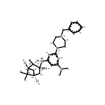 C[C@H]1[C@H](Nc2cc(N(C)C)nc(N3CCN(Cc4ccccc4)CC3)n2)C[C@@H]2C[C@@H]1C2(C)C